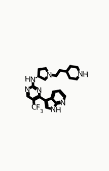 FC(F)(F)c1cnc(N[C@@H]2CCN(CCC3CCNCC3)C2)nc1-c1c[nH]c2ncccc12